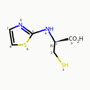 O=C(O)[C@@H](CS)Nc1nccs1